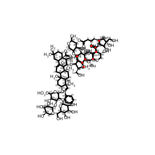 CC[C@H](C)[C@H](C[C@H](O)CC(=O)O[C@H]1C(C)O[C@@H](OC(=O)[C@]23CCC(C)(C)CC2C2=CCC4C5(C)CC[C@H](O[C@@H]6OC(C(=O)O)[C@@H](O)[C@H](O[C@@H]7OC[C@@H](O)[C@H](O)C7O)C6O[C@@H]6OC(CO)[C@H](O)[C@H](O)C6O)[C@](C)(C=Nc6ccccc6)[C@@H]5CC[C@]4(C)[C@]2(C)CC3O)C(O[C@@H]2OC(C)[C@H](O[C@@H]3OC[C@@H](O)C(O[C@@H]4OC[C@@](O)(CO)C4O)C3O)C(O)C2O)C1O)OC(=O)C[C@@H](O)C[C@H](O[C@@H]1O[C@@H](CO)C(O)C1O)[C@@H](C)CC